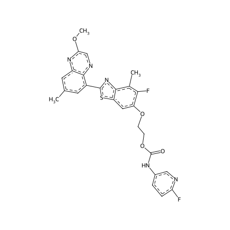 COc1cnc2c(-c3nc4c(C)c(F)c(OCCOC(=O)Nc5ccc(F)nc5)cc4s3)cc(C)cc2n1